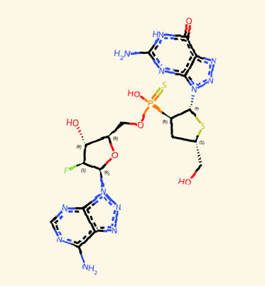 Nc1nc2c(nnn2[C@@H]2S[C@H](CO)C[C@H]2P(O)(=S)OC[C@H]2O[C@@H](n3nnc4c(N)ncnc43)[C@@H](F)[C@@H]2O)c(=O)[nH]1